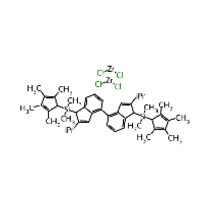 CC1=C(C)C([Si](C)(C)C2C(C(C)C)=Cc3c(-c4cccc5c4C=C(C(C)C)C5[Si](C)(C)C4C(C)=C(C)C(C)=C4C)cccc32)C(C)=C1C.[Cl][Zr][Cl].[Cl][Zr][Cl]